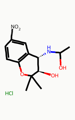 CC(O)N[C@H]1c2cc([N+](=O)[O-])ccc2OC(C)(C)[C@@H]1O.Cl